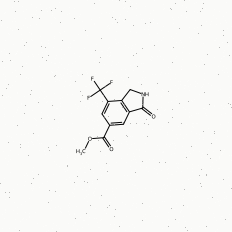 COC(=O)c1cc2c(c(C(F)(F)F)c1)CNC2=O